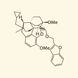 COc1ccc2c3c1O[C@H]1[C@@]4(OC)CC[C@@]5(C[C@@H]4COCc4cc6ccccc6o4)[C@@H](C2)C(C)(CC2CC2)CC[C@]315